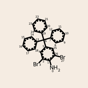 Nc1c(Br)cc(C(c2ccccc2)(c2ccccc2)c2ccccc2)cc1Br